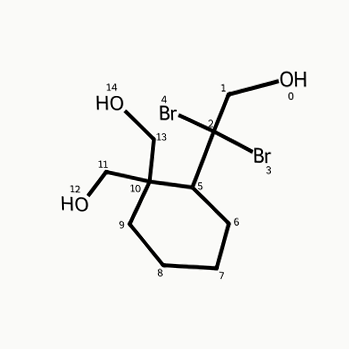 OCC(Br)(Br)C1CCCCC1(CO)CO